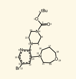 CC(C)(C)OC(=O)N1CCN(c2ncc(Br)cc2N2CCCOCC2)CC1